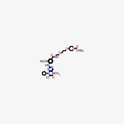 CC[C@@H]1C(=O)N(C)c2cnc(Nc3ccc(C(=O)NCCOCCCOC4CCN(C(=O)OC(C)(C)C)CC4)cc3OC)nc2N1C1CCCC1